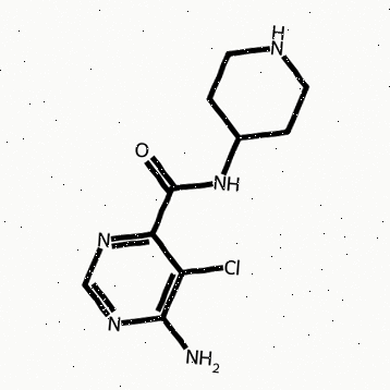 Nc1ncnc(C(=O)NC2CCNCC2)c1Cl